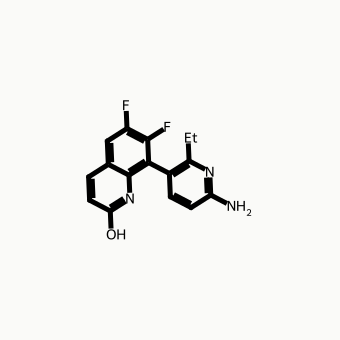 CCc1nc(N)ccc1-c1c(F)c(F)cc2ccc(O)nc12